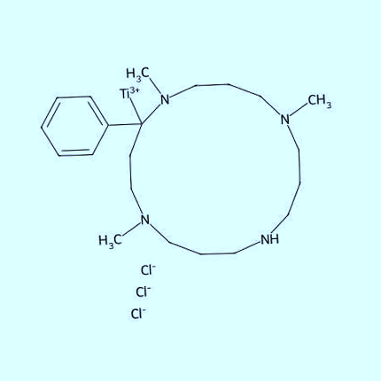 CN1CCCNCCCN(C)CC[C]([Ti+3])(c2ccccc2)N(C)CCC1.[Cl-].[Cl-].[Cl-]